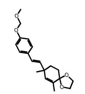 COCOc1ccc(/C=C/C2(C)C=C(C)C3(CC2)OCCO3)cc1